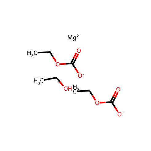 CCO.CCOC(=O)[O-].CCOC(=O)[O-].[Mg+2]